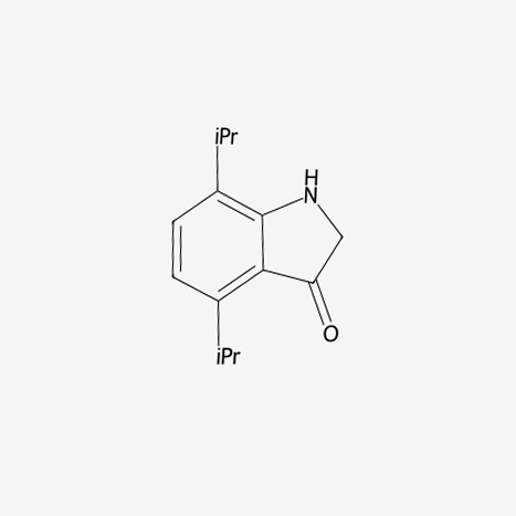 CC(C)c1ccc(C(C)C)c2c1NCC2=O